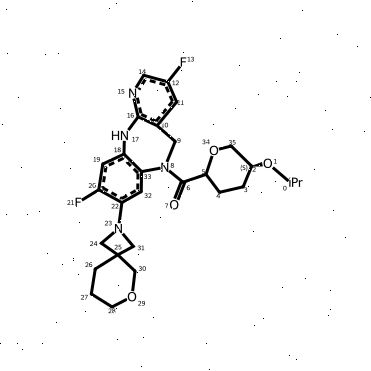 CC(C)O[C@H]1CCC(C(=O)N2Cc3cc(F)cnc3Nc3cc(F)c(N4CC5(CCCOC5)C4)cc32)OC1